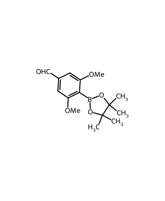 COc1cc(C=O)cc(OC)c1B1OC(C)(C)C(C)(C)O1